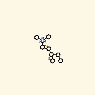 c1ccc(-c2cccc(-c3cc(-c4ccc5sc6c(-c7nc(-c8ccccc8)nc(-c8ccccc8)n7)cccc6c5c4)cc4sc5ccccc5c34)c2)cc1